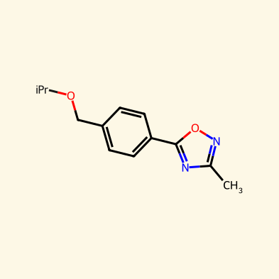 Cc1noc(-c2ccc(COC(C)C)cc2)n1